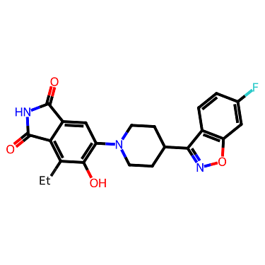 CCc1c(O)c(N2CCC(c3noc4cc(F)ccc34)CC2)cc2c1C(=O)NC2=O